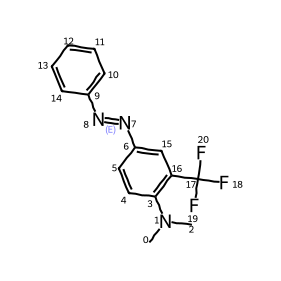 CN(C)c1ccc(/N=N/c2ccccc2)cc1C(F)(F)F